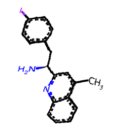 Cc1cc([C@@H](N)Cc2ccc(I)cc2)nc2ccccc12